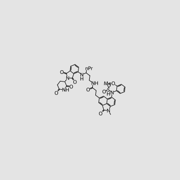 CCCC(CCNC(=O)CCc1cc2c3c(ccc(N(c4ccccc4OC)[SH](=O)=O)c3c1)N(C)C2=O)Nc1cccc2c1C(=O)N([C@@H]1CCC(=O)NC1=O)C2=O